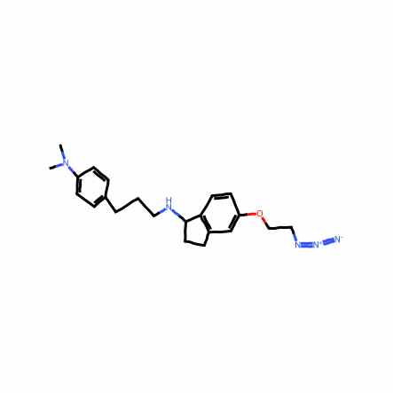 CN(C)c1ccc(CCCNC2CCc3cc(OCCN=[N+]=[N-])ccc32)cc1